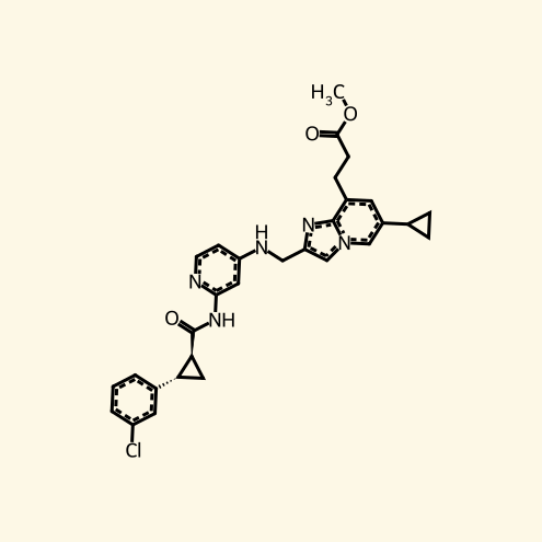 COC(=O)CCc1cc(C2CC2)cn2cc(CNc3ccnc(NC(=O)[C@H]4C[C@@H]4c4cccc(Cl)c4)c3)nc12